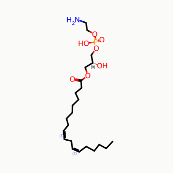 CCCCC/C=C\C/C=C\CCCCCCCC(=O)OC[C@@H](O)COP(=O)(O)OCCN